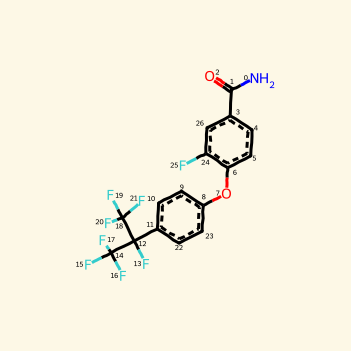 NC(=O)c1ccc(Oc2ccc(C(F)(C(F)(F)F)C(F)(F)F)cc2)c(F)c1